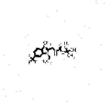 CCn1c(CNC(=O)OC(C)(C)C)[n+](C)c2ccc(C(F)(F)F)cc21.[I-]